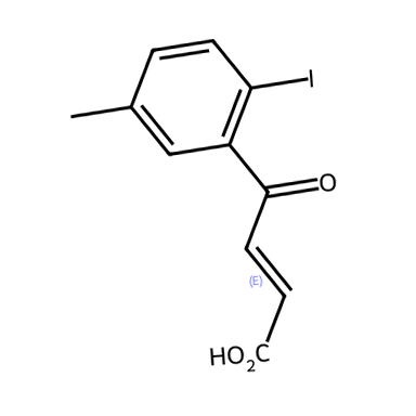 Cc1ccc(I)c(C(=O)/C=C/C(=O)O)c1